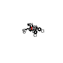 CCOc1cc(C(C)(C)C)ncc1C1=N[C@@](C)(C2C=CC(Cl)=CC2)[C@@](C)(c2ccc(Cl)cc2)N1C(=O)N1CCC(CCC[S+](C)[O-])CC1